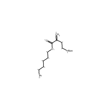 C=C(CCCCCCCCCCC)C(=O)OCCCCCC(C)C